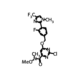 CON(C)C(=O)c1cc(OCc2ccc(-c3nc(C(F)(F)F)cn3C)c(F)c2)nc(Cl)n1